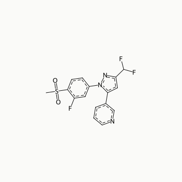 CS(=O)(=O)c1ccc(-n2nc(C(F)F)cc2-c2cccnc2)cc1F